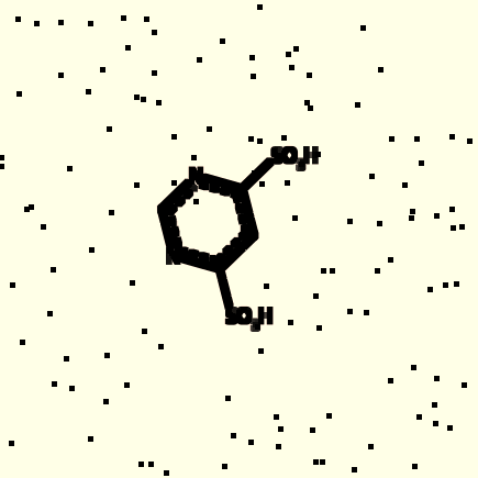 O=S(=O)(O)c1cc(S(=O)(=O)O)ncn1